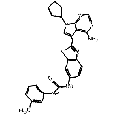 Cc1cccc(NC(=O)Nc2ccc3nc(-c4cn(C5CCCC5)c5ncnc(N)c45)oc3c2)c1